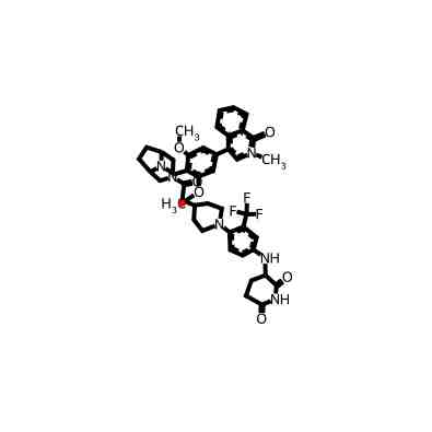 COc1cc(-c2cn(C)c(=O)c3ccccc23)cc(OC)c1CN1C2CCC1CN(C(=O)CC1CCN(c3ccc(NC4CCC(=O)NC4=O)cc3C(F)(F)F)CC1)C2